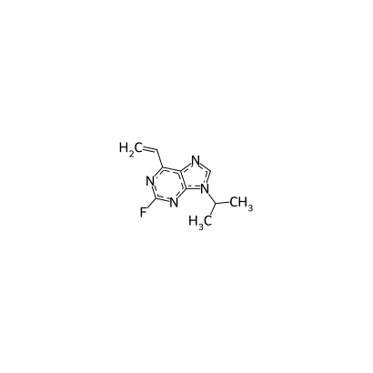 C=Cc1nc(F)nc2c1ncn2C(C)C